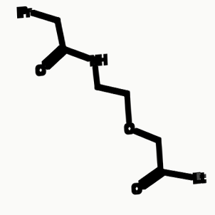 CCC(=O)COCCNC(=O)CC(C)C